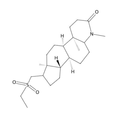 CCS(=O)(=O)CC1CC[C@H]2[C@@H]3CCC4N(C)C(=O)CC[C@]4(C)[C@@H]3CC[C@]12C